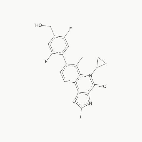 Cc1nc2c(=O)n(C3CC3)c3c(C)c(-c4cc(F)c(CO)cc4F)ccc3c2o1